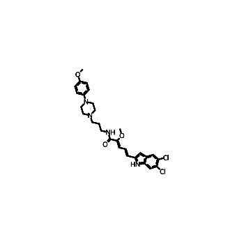 COC(=CC=Cc1cc2cc(Cl)c(Cl)cc2[nH]1)C(=O)NCCCN1CCN(c2ccc(OC)cc2)CC1